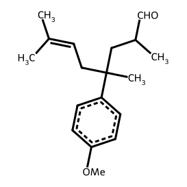 COc1ccc(C(C)(CC=C(C)C)CC(C)C=O)cc1